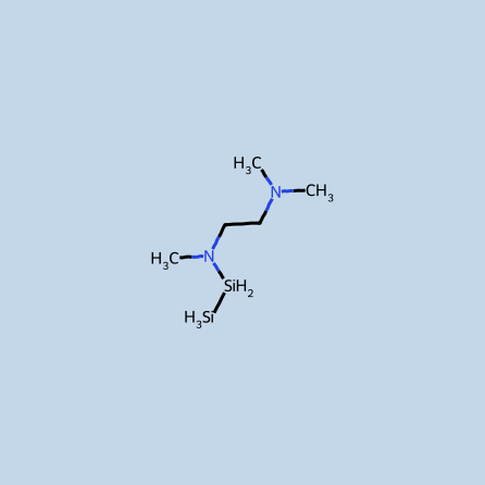 CN(C)CCN(C)[SiH2][SiH3]